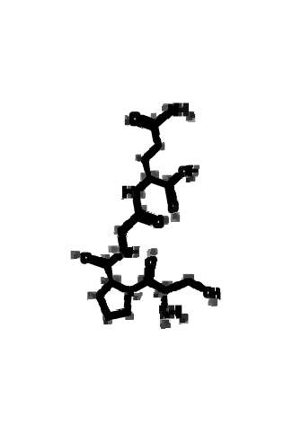 NC(=O)CC[C@H](NC(=O)CNC(=O)[C@@H]1CCCN1C(=O)[C@@H](N)CO)C(=O)O